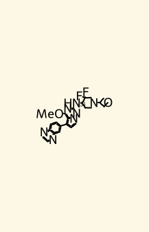 COc1nc(N[C@H]2CCN(C3COC3)CC2(F)F)nn2ccc(-c3ccc4nccnc4c3)c12